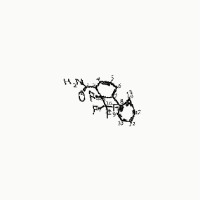 NC(=O)C1C=CC=C(c2ccccc2)C1(F)C(F)(F)F